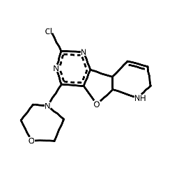 Clc1nc2c(c(N3CCOCC3)n1)OC1NCC=CC21